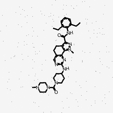 CCc1cccc(CC)c1NC(=O)c1nn(C)c2c1CCc1cnc(NC3CCN(C(=O)N4CCN(C)CC4)CC3)nc1-2